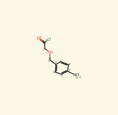 O=C(Cl)COCc1ccc([N+](=O)[O-])cc1